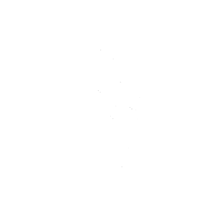 CCn1c(-c2nc3cc(C=O)ccc3n2C)cc2ccccc21.Cl